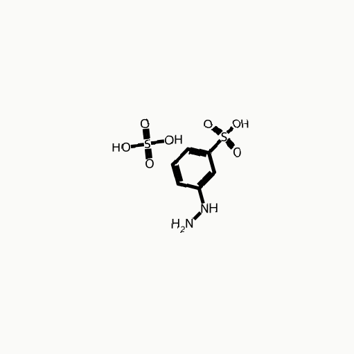 NNc1cccc(S(=O)(=O)O)c1.O=S(=O)(O)O